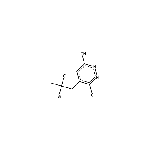 CC(Cl)(Br)Cc1cc(C#N)nnc1Cl